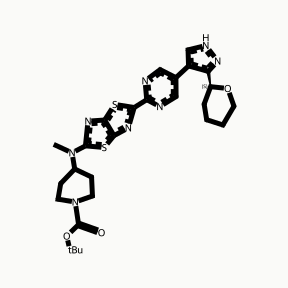 CN(c1nc2sc(-c3ncc(-c4c[nH]nc4[C@@H]4CCCCO4)cn3)nc2s1)C1CCN(C(=O)OC(C)(C)C)CC1